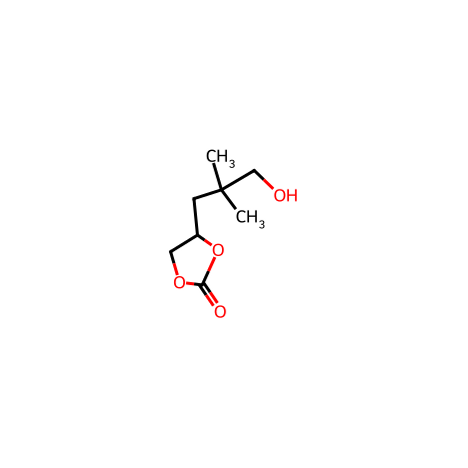 CC(C)(CO)CC1COC(=O)O1